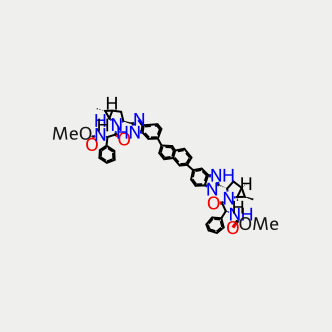 COC(=O)N[C@H](C(=O)N1[C@@H]2[C@H](C)[C@@H]2C[C@H]1c1nc2ccc(-c3ccc4cc(-c5ccc6nc([C@@H]7C[C@H]8[C@@H](C)[C@H]8N7C(=O)[C@H](NC(=O)OC)c7ccccc7)[nH]c6c5)ccc4c3)cc2[nH]1)c1ccccc1